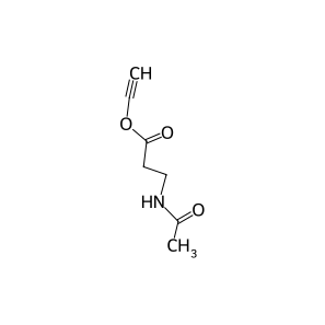 C#COC(=O)CCNC(C)=O